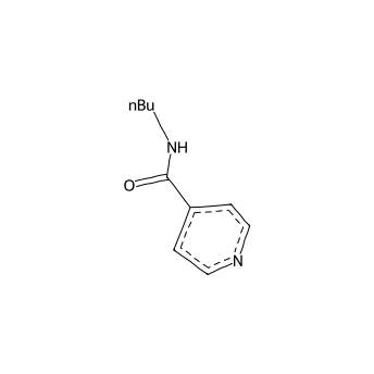 [CH2]CCCNC(=O)c1ccncc1